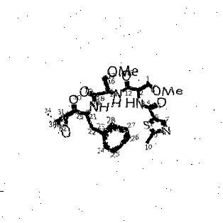 COCC(NC(=O)c1cnc(C)s1)C(=O)NC(COC)C(=O)NC(Cc1ccccc1)C(=O)C1O[C@@H]1C